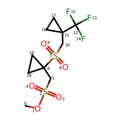 COS(=O)(=O)CC1(S(=O)(=O)CC2(C(F)(F)F)CC2)CC1